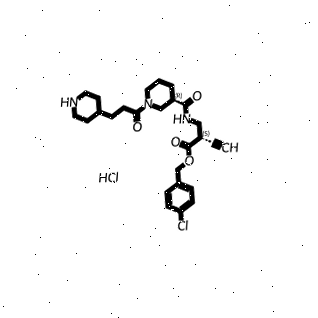 C#C[C@@H](CNC(=O)[C@@H]1CCCN(C(=O)CCC2CCNCC2)C1)C(=O)OCc1ccc(Cl)cc1.Cl